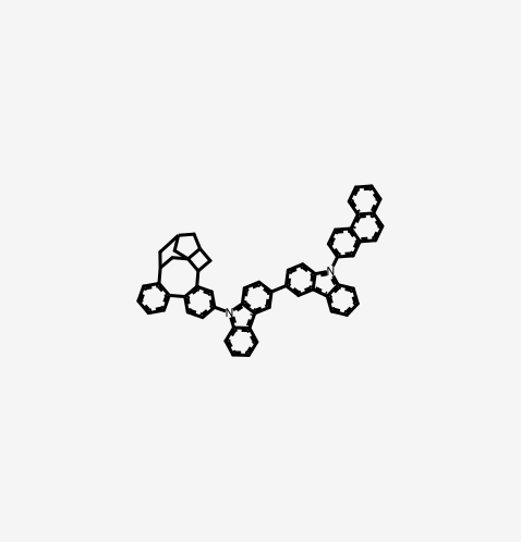 c1ccc2c(c1)-c1ccc(-n3c4ccccc4c4cc(-c5ccc6c(c5)c5ccccc5n6-c5ccc6c(ccc7ccccc76)c5)ccc43)cc1C1CC3CC4CC2CC31C4